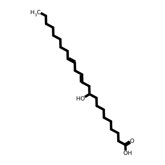 CCCCCCCCC=CCC=CCC(O)CCCCCCCCC(=O)O